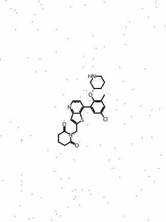 Cc1cc(Cl)cc(-c2ccnc3cc(CN4C(=O)CCCC4=O)sc23)c1O[C@H]1CCCNC1